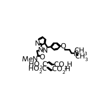 CNC(=O)Cn1nc(-c2ccc(OCCCN(C)C)cc2)c2cccnc21.O=C(O)C=CC(=O)O.O=C(O)C=CC(=O)O